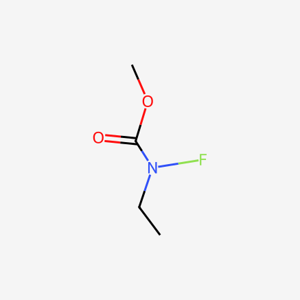 CCN(F)C(=O)OC